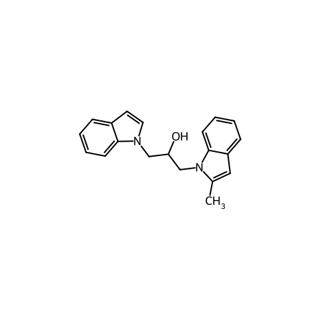 Cc1cc2ccccc2n1CC(O)Cn1ccc2ccccc21